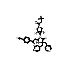 CC(C)(C)CC(=O)N1C[C@@H]2[C@H](C1)[C@H]2N1C(=O)C(Cc2ccncc2)(Cc2ccncc2)N/C1=C\C(=O)c1ccc(C#N)cc1